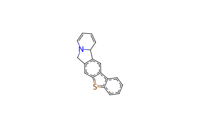 C1=CC2c3cc4c(cc3CN2C=C1)sc1ccccc14